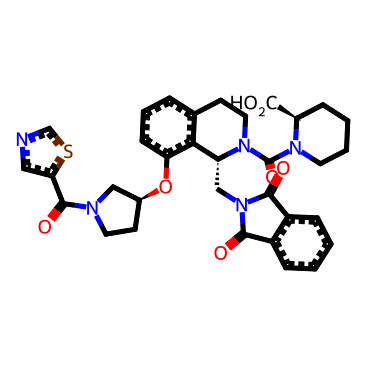 O=C(O)[C@H]1CCCCN1C(=O)N1CCc2cccc(O[C@H]3CCN(C(=O)c4cncs4)C3)c2[C@H]1CN1C(=O)c2ccccc2C1=O